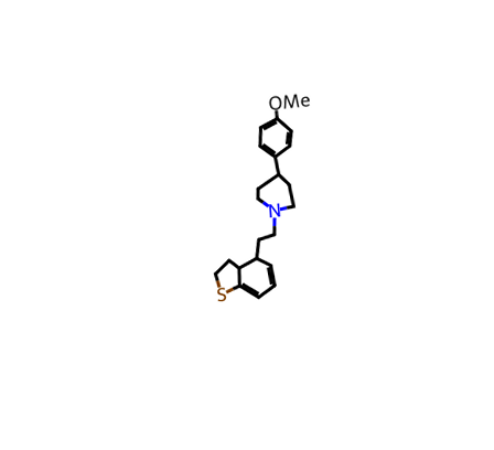 COc1ccc(C2CCN(CCC3C=CC=C4SCCC43)CC2)cc1